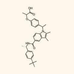 Cc1c(C)n(C(C)c2ccc(OC(C)C(=O)O)cc2)c2ccc(C(=O)N[C@@H](C)c3ccc(C(C)(C)C)cc3)cc12